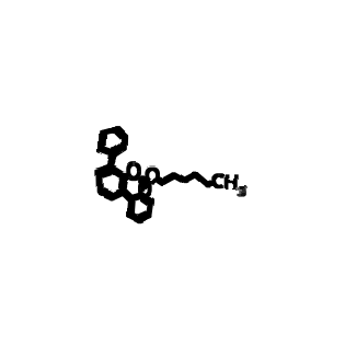 CCCCCCOC(=O)Oc1c(-c2ccccc2)cccc1-c1ccccc1